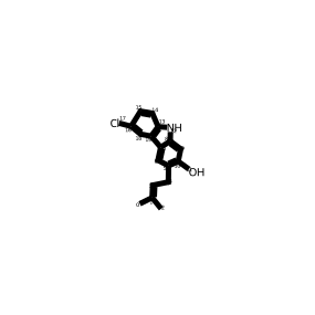 CC(C)=CCc1cc2c(cc1O)[nH]c1ccc(Cl)cc12